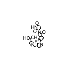 CC(O)C1CCN(Cc2ccnc(-c3ccc4c(c3)CN(C3CCC(=O)NC3=O)C4=O)c2F)C1